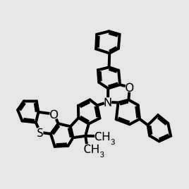 CC1(C)c2cc(N3c4ccc(-c5ccccc5)cc4Oc4cc(-c5ccccc5)ccc43)ccc2-c2c1ccc1c2Oc2ccccc2S1